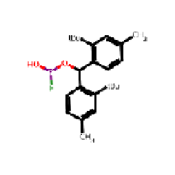 Cc1ccc(C(OP(O)F)c2ccc(C)cc2C(C)(C)C)c(C(C)(C)C)c1